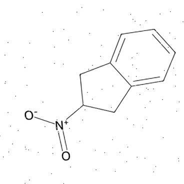 O=[N+]([O-])C1Cc2ccccc2C1